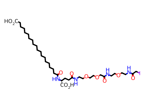 O=C(O)CCCCCCCCCCCCCCCCCCC(=O)N[C@H](CCC(=O)NCCOCCOCC(=O)NCCOCCNC(=O)CI)C(=O)O